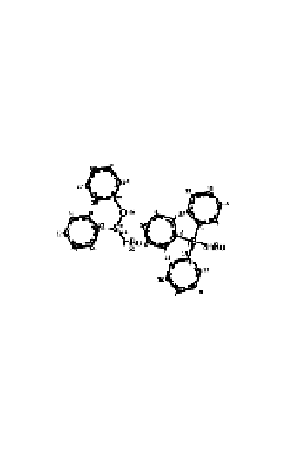 CCCC[B-](c1ccccc1)(c1ccccc1)c1ccccc1.CCCC[S+](Oc1ccccc1)c1ccccc1